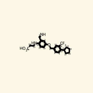 N=Cc1cc(OCc2ccc(C3CCCC3)c(C(F)(F)F)c2)ccc1NCCC(=O)O